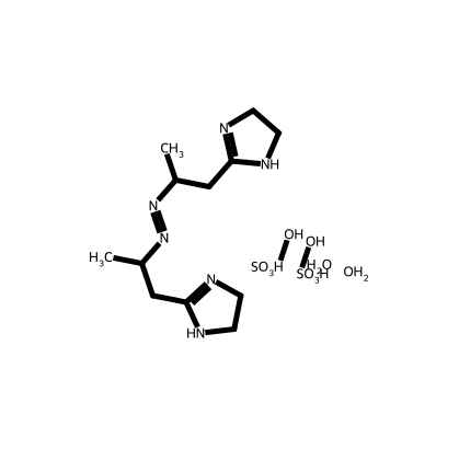 CC(CC1=NCCN1)N=NC(C)CC1=NCCN1.O.O.O=S(=O)(O)O.O=S(=O)(O)O